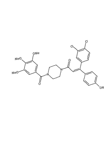 COc1ccc(/C(=C/C(=O)N2CCN(C(=O)c3cc(OC)c(OC)c(OC)c3)CC2)c2ccc(Cl)c(Cl)c2)cc1